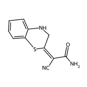 N#CC(C(N)=O)=C1CNc2ccccc2S1